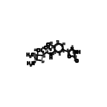 C[C@H](Nc1cc(-c2n[nH]c(=O)o2)ccc1Cl)[C@@H]1C[C@H](N)C1(C)C